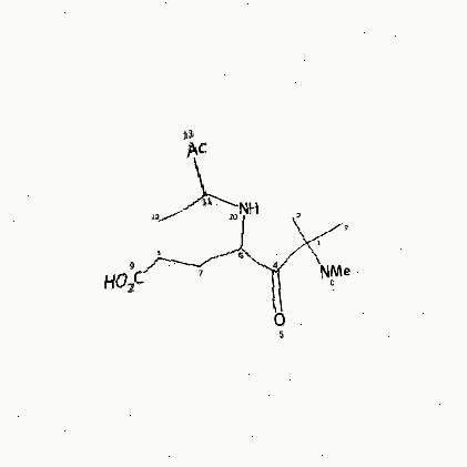 CNC(C)(C)C(=O)C(CCC(=O)O)NC(C)C(C)=O